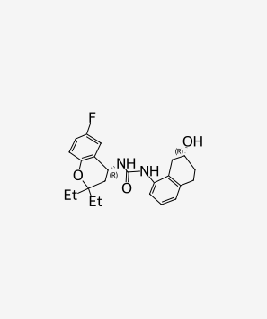 CCC1(CC)C[C@@H](NC(=O)Nc2cccc3c2C[C@H](O)CC3)c2cc(F)ccc2O1